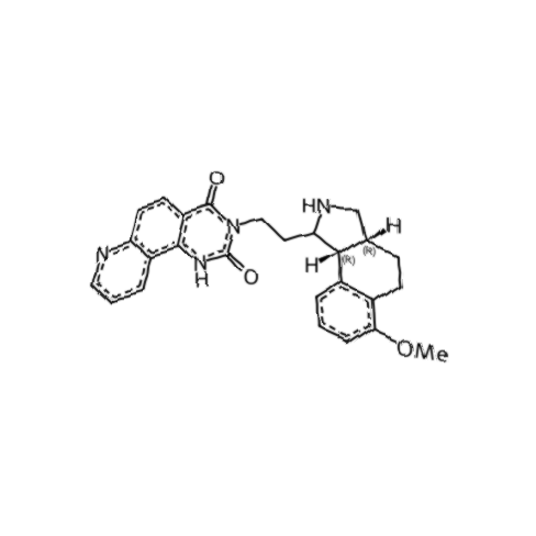 COc1cccc2c1CC[C@H]1CNC(CCn3c(=O)[nH]c4c(ccc5ncccc54)c3=O)[C@@H]21